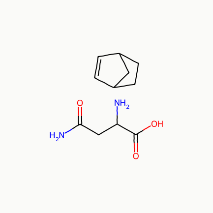 C1=CC2CCC1C2.NC(=O)CC(N)C(=O)O